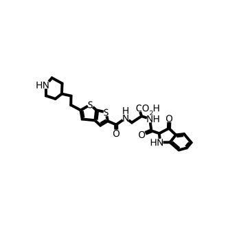 O=C(NCC(NC(=O)C1Nc2ccccc2C1=O)C(=O)O)c1cc2cc(CCC3CCNCC3)sc2s1